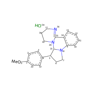 COc1ccc(C2CCN3c4ccccc4C4=NCCCN4C23)cc1.Cl